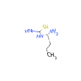 CCCC(N)NC(=N)S